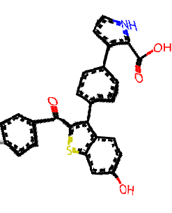 O=C(O)c1[nH]ccc1-c1ccc(-c2c(C(=O)c3ccccc3)sc3cc(O)ccc23)cc1